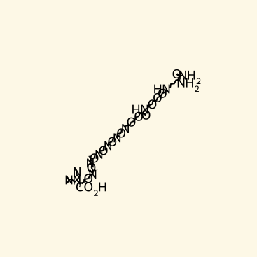 C[C@H](N=CO[C@H](C)N=COCC[C@@H](C(=O)O)N(CCN(C)C)CCN(C)C)OC=NCOC=NCOC=NCOC=NCCOCCOCC(=O)NCCOCCOCOCNCCCC[C@H](N)C(N)=O